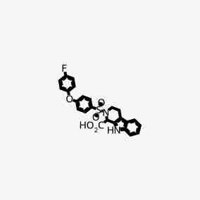 O=C(O)C1c2[nH]c3ccccc3c2CCN1S(=O)(=O)c1ccc(Oc2ccc(F)cc2)cc1